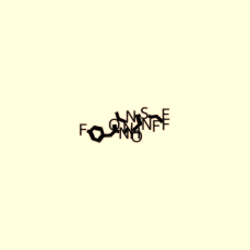 CCc1nc2sc(CC(F)(F)F)nc2c(=O)n1NC(=O)Cc1ccc(F)cc1